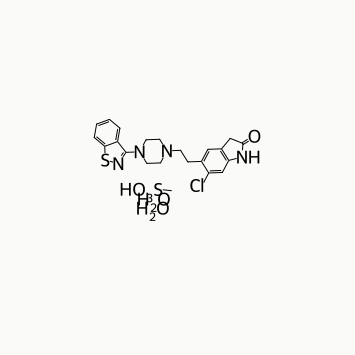 CS(=O)(=O)O.O.O.O=C1Cc2cc(CCN3CCN(c4nsc5ccccc45)CC3)c(Cl)cc2N1